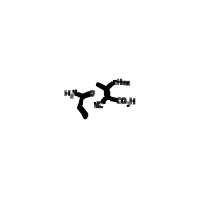 C=CC(N)=O.CCCCCCC(C)=C(C#N)C(=O)O